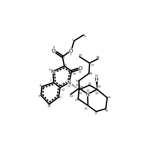 CCOC(=O)c1nc2ccccc2n([C@H]2CC3CCC[C@@H](C2)N3C(C)CCC(C)C)c1=O